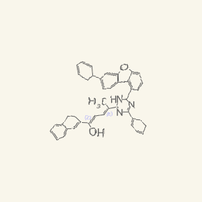 C/C(=C\C=C(/O)C1=Cc2ccccc2CC1)C1=NC(C2=CC=CCC2)=NC(c2cccc3oc4cc(C5C=CC=CC5)ccc4c23)N1